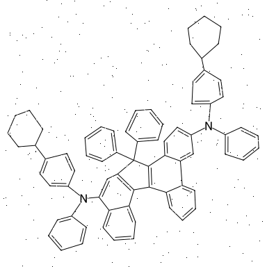 c1ccc(N(c2ccc(C3CCCCC3)cc2)c2ccc3c4c(c5ccccc5c3c2)-c2c(cc(N(c3ccccc3)c3ccc(C5CCCCC5)cc3)c3ccccc23)C4(c2ccccc2)c2ccccc2)cc1